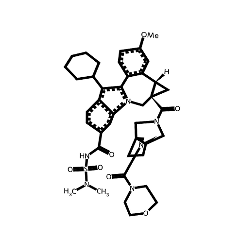 COc1ccc2c(c1)[C@@H]1C[C@]1(C(=O)N1CC34CCC3(CN(C(=O)N3CCOCC3)C4)C1)Cn1c-2c(C2CCCCC2)c2ccc(C(=O)NS(=O)(=O)N(C)C)cc21